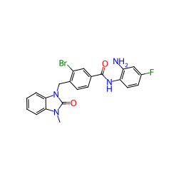 Cn1c(=O)n(Cc2ccc(C(=O)Nc3ccc(F)cc3N)cc2Br)c2ccccc21